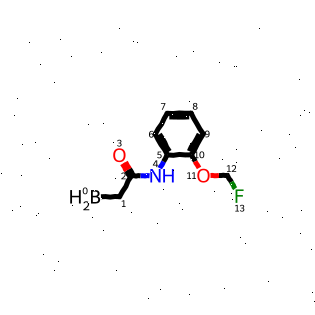 BCC(=O)Nc1ccccc1OCF